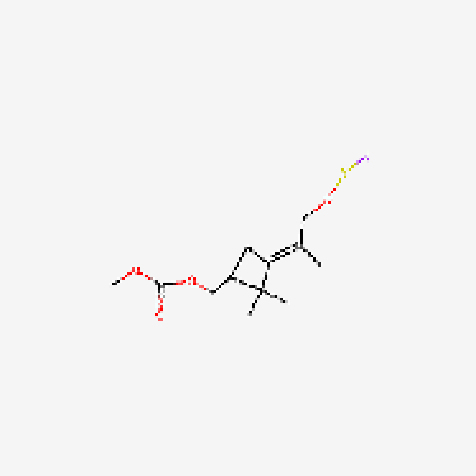 COC(=O)OCC1C/C(=C(/C)COSI)C1(C)C